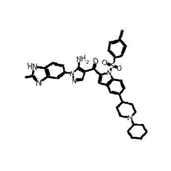 Cc1ccc(S(=O)(=O)n2c(C(=O)c3cnn(-c4ccc5[nH]c(C)nc5c4)c3N)cc3cc(C4CCN(C5CCCCC5)CC4)ccc32)cc1